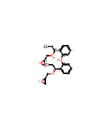 CCC(OCC1CO1)c1ccccc1Oc1ccccc1C(CC)OCC1CO1